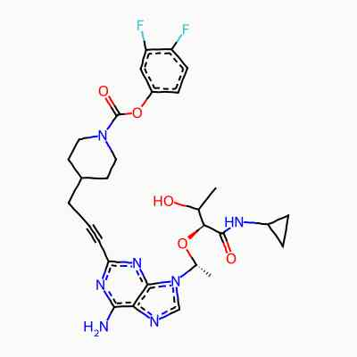 CC(O)[C@H](O[C@H](C)n1cnc2c(N)nc(C#CCC3CCN(C(=O)Oc4ccc(F)c(F)c4)CC3)nc21)C(=O)NC1CC1